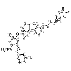 N#Cc1cncc(COc2cc(O[C@H]3CCc4c(-c5cccc(OCCCN6CC7(C6)CC(F)(F)C7)c5Cl)cccc43)c(Cl)cc2CN)c1